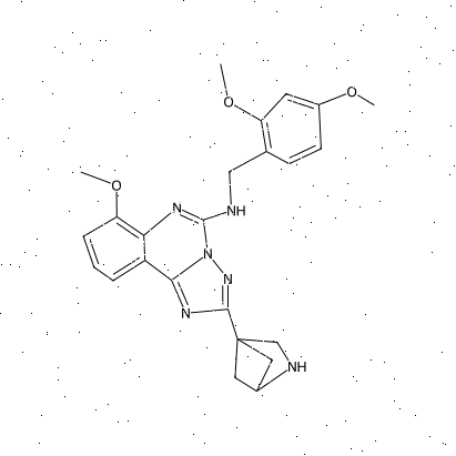 COc1ccc(CNc2nc3c(OC)cccc3c3nc(C45CNC(C4)C5)nn23)c(OC)c1